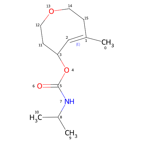 C/C1=C\C(OC(=O)NC(C)C)CCOCC1